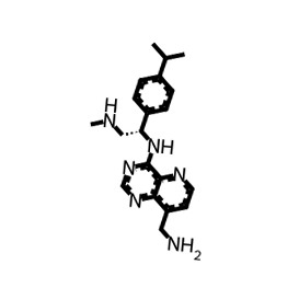 CNC[C@@H](Nc1ncnc2c(CN)ccnc12)c1ccc(C(C)C)cc1